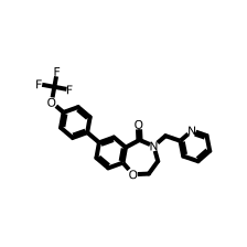 O=C1c2cc(-c3ccc(OC(F)(F)F)cc3)ccc2OCCN1Cc1ccccn1